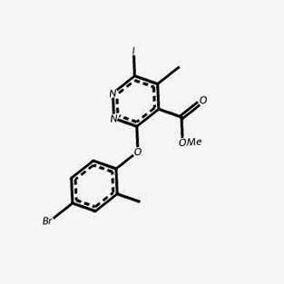 COC(=O)c1c(Oc2ccc(Br)cc2C)nnc(I)c1C